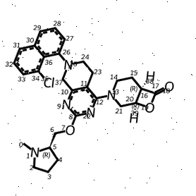 CN1CCC[C@@H]1COc1nc2c(c(N3CC[C@H]4C(=O)O[C@H]4C3)n1)CCN(c1cccc3cccc(Cl)c13)C2